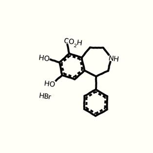 Br.O=C(O)c1c(O)c(O)cc2c1CCNCC2c1ccccc1